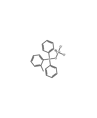 Cc1ccccc1S(O[Cl+3]([O-])([O-])[O-])(c1ccccc1)c1ccccc1